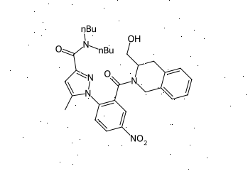 CCCCN(CCCC)C(=O)c1cc(C)n(-c2ccc([N+](=O)[O-])cc2C(=O)N2Cc3ccccc3CC2CO)n1